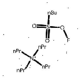 CCCCS(=O)(=O)OF.CCC[N+](CCC)(CCC)CCC